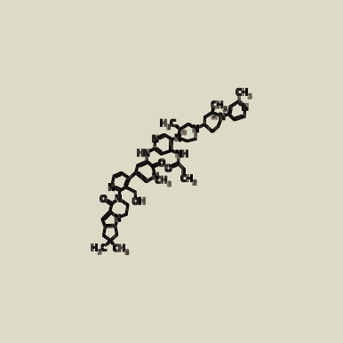 C=CC(=O)Nc1cc(Nc2cc(-c3ccnc(N4CCn5c(cc6c5CC(C)(C)C6)C4=O)c3CO)cn(C)c2=O)ncc1N1CCN(C2CCN(c3ccnc(C)c3)[C@H](C)C2)C[C@@H]1C